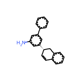 Nc1cc(-c2ccccc2)cc([C@H]2C=Cc3ccccc3C2)c1